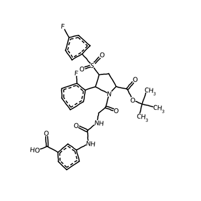 CC(C)(C)OC(=O)C1CC(S(=O)(=O)c2ccc(F)cc2)C(c2ccccc2F)N1C(=O)CNC(=O)Nc1cccc(C(=O)O)c1